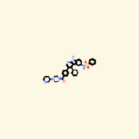 CN(c1ccc2[nH]c3ncc(-c4ccc(C(=O)N5CCN(C6C=CC=NC6)CC5)cc4)c(C4=CC=CCC4)c3c2c1)S(=O)(=O)c1ccccc1